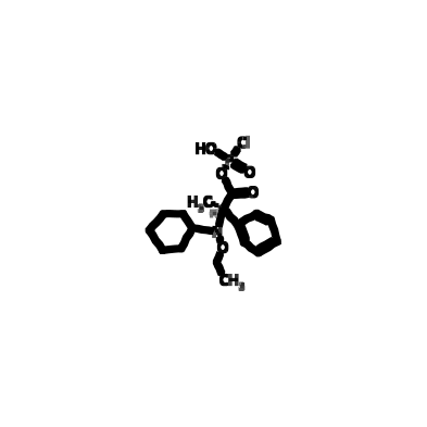 CCON(C1CCCCC1)[C@@](C)(C(=O)OP(=O)(O)Cl)c1ccccc1